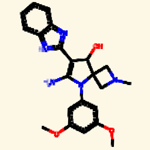 COc1cc(OC)cc(N2C(N)=C(c3nc4ccccc4[nH]3)C(O)C23CN(C)C3)c1